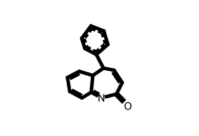 O=C1C=CC(c2ccccc2)C2C=CC=CC2=N1